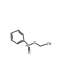 N#CCO[PH](=O)c1ccccc1